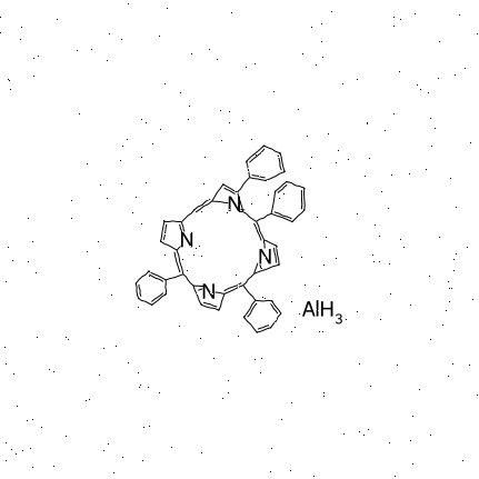 C1=CC2=C(c3ccccc3)C3=NC(=C(c4ccccc4)C4=NC(=C(c5ccccc5)C5=NC(=CC1=N2)C=C5c1ccccc1)C=C4)C=C3.[AlH3]